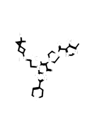 CCc1c(N2CCN(C(=O)c3ncnc(C)c3O)CC2)c(=O)n2nc(C3=CCOCC3)nc2n1CC(=O)NC1CC2(C1)CC2(F)F